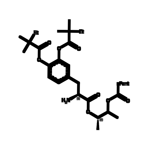 CCCCCC(=O)OC(C)[C@H](C)OC(=O)[C@@H](N)Cc1ccc(OC(=O)C(C)(C)CC)c(OC(=O)C(C)(C)CC)c1